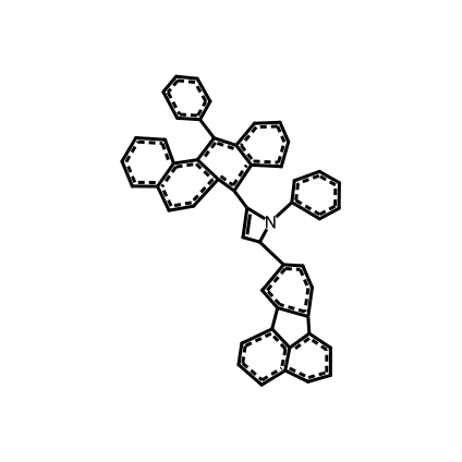 C1=C(c2c3ccccc3c(-c3ccccc3)c3c2ccc2ccccc23)N(c2ccccc2)C1c1ccc2c(c1)-c1cccc3cccc-2c13